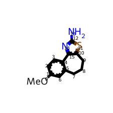 COc1ccc2c(c1)CCCc1sc(N)nc1-2